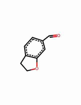 O=Cc1ccc2c(c1)OCC2